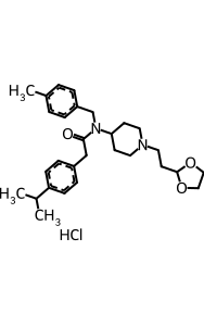 Cc1ccc(CN(C(=O)Cc2ccc(C(C)C)cc2)C2CCN(CCC3OCCO3)CC2)cc1.Cl